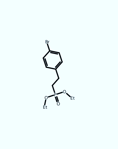 CCOP(=O)(CCc1ccc(Br)cc1)OCC